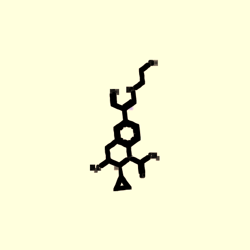 CC(=O)N1c2ccc(/C(C=N)=C/NCCO)cc2CC(C)[C@@H]1C1CC1